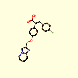 O=C(O)/C(=C/c1ccc(Cl)cc1)c1ccc(OCc2cn3ccccc3n2)cc1